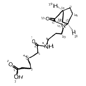 O=C(O)CSCC(=O)NCCN1C(=O)[C@H]2CC[C@@H]1C2